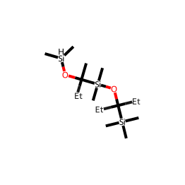 CCC(CC)(O[Si](C)(C)C(C)(CC)O[SiH](C)C)[Si](C)(C)C